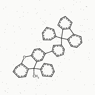 CC1(c2ccccc2)c2ccccc2Oc2ccc(-c3cccc(C4(c5ccccc5)c5ccccc5-c5ccccc54)c3)cc21